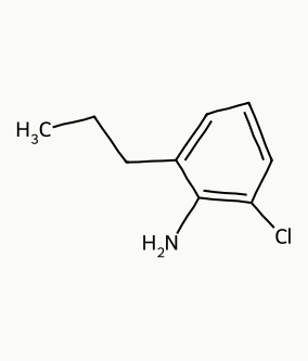 CCCc1cccc(Cl)c1N